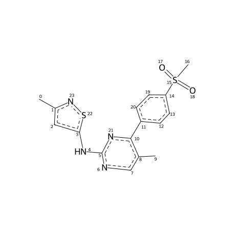 Cc1cc(Nc2ncc(C)c(-c3ccc(S(C)(=O)=O)cc3)n2)sn1